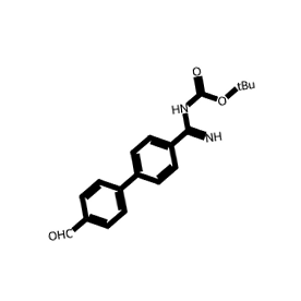 CC(C)(C)OC(=O)NC(=N)c1ccc(-c2ccc(C=O)cc2)cc1